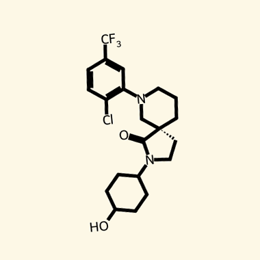 O=C1N(C2CCC(O)CC2)CC[C@]12CCCN(c1cc(C(F)(F)F)ccc1Cl)C2